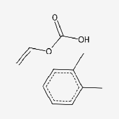 C=COC(=O)O.Cc1ccccc1C